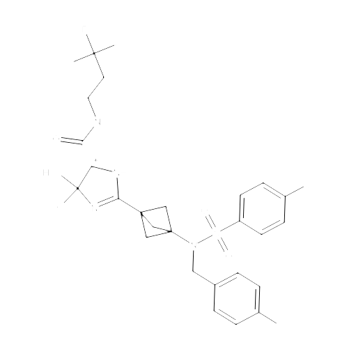 CC1(C)N=C(C23CC(N(Cc4ccc(Cl)cc4)S(=O)(=O)c4ccc(Cl)cc4)(C2)C3)N[C@H]1C(=O)NCCC(F)(F)F